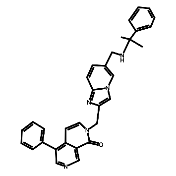 CC(C)(NCc1ccc2nc(Cn3ccc4c(-c5ccccc5)cncc4c3=O)cn2c1)c1ccccc1